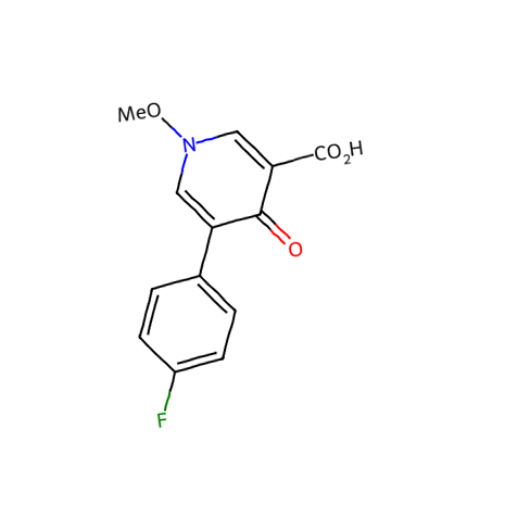 COn1cc(C(=O)O)c(=O)c(-c2ccc(F)cc2)c1